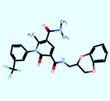 Cc1c(C(=O)N(C)C)cc(C(=O)NCC2COc3ccccc3O2)c(=O)n1-c1cccc(C(F)(F)F)c1